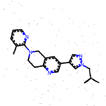 Cc1cccnc1N1CCc2ncc(-c3cnn(CC(C)C)c3)cc2C1